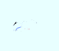 CCCCCCCCCCn1ccnc1.O=S(=O)(O)O